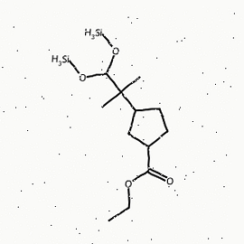 CCOC(=O)C1CCC(C(C)(C)C(O[SiH3])O[SiH3])C1